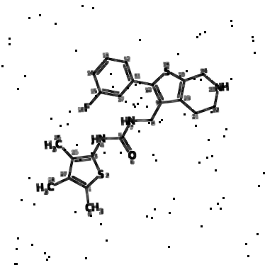 Cc1sc(NC(=O)NCc2c(-c3cccc(F)c3)sc3c2CCNC3)c(C)c1C